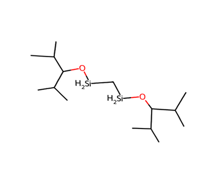 CC(C)C(O[SiH2]C[SiH2]OC(C(C)C)C(C)C)C(C)C